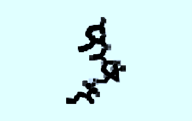 C=CCC(C)S(=O)(=O)NC[C@@]12C[C@@H](C(=O)Nc3nc(Br)ccc3C=C)N[C@@H]1C2